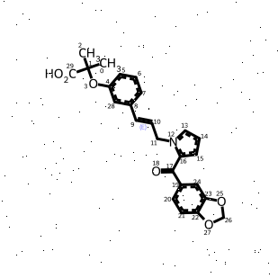 CC(C)(Oc1cccc(/C=C/Cn2cccc2C(=O)c2ccc3c(c2)OCO3)c1)C(=O)O